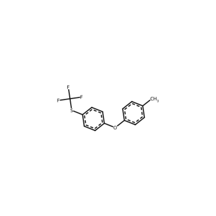 Cc1ccc(Oc2ccc(SC(F)(F)F)cc2)cc1